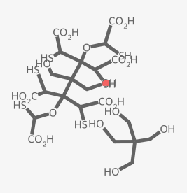 O=C(O)C(S)OC(C(S)C(=O)O)(C(S)C(=O)O)C(CO)(CO)C(OC(S)C(=O)O)(C(S)C(=O)O)C(S)C(=O)O.OCC(CO)(CO)CO